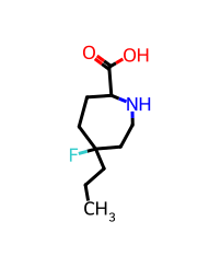 CCCC1(F)CCNC(C(=O)O)CC1